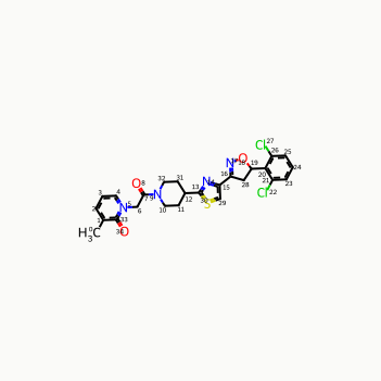 Cc1cccn(CC(=O)N2CCC(c3nc(C4=NOC(c5c(Cl)cccc5Cl)C4)cs3)CC2)c1=O